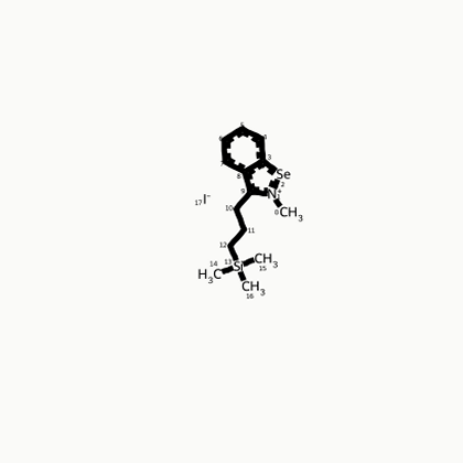 C[n+]1[se]c2ccccc2c1CCC[Si](C)(C)C.[I-]